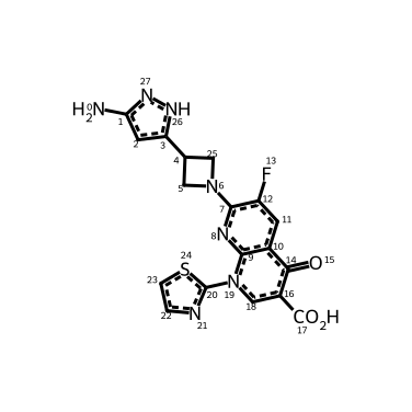 Nc1cc(C2CN(c3nc4c(cc3F)c(=O)c(C(=O)O)cn4-c3nccs3)C2)[nH]n1